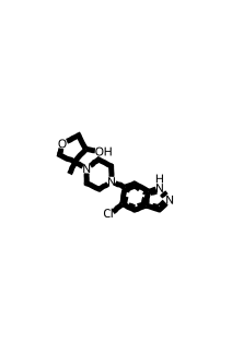 CC1(N2CCN(c3cc4[nH]ncc4cc3Cl)CC2)COCC1O